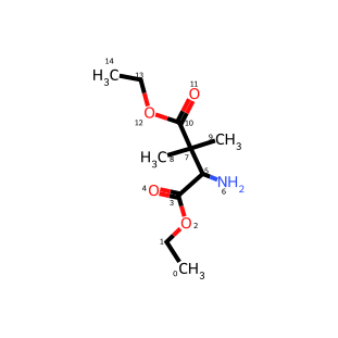 CCOC(=O)C(N)C(C)(C)C(=O)OCC